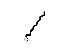 CCCCCCC/C=C/C=C/[O]